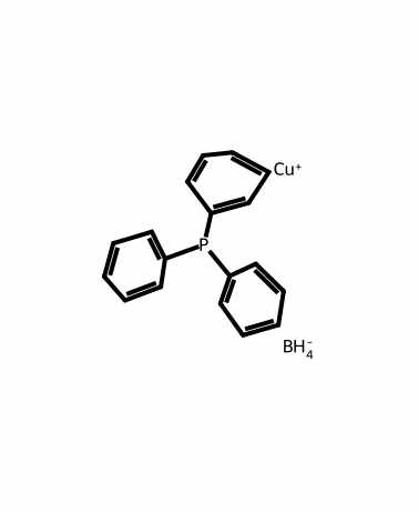 [BH4-].[Cu+].c1ccc(P(c2ccccc2)c2ccccc2)cc1